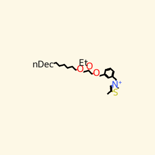 CCCCCCCCCCCCCCCCOCC(COCc1cccc(C[n+]2csc(C)c2)c1)OCC